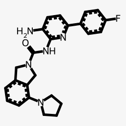 Nc1ccc(-c2ccc(F)cc2)nc1NC(=O)N1Cc2cccc(N3CCCC3)c2C1